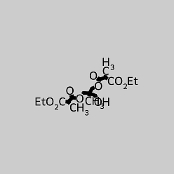 CCOC(=O)C(C)C(=O)OCC(C)(CO)COC(=O)C(C)C(=O)OCC